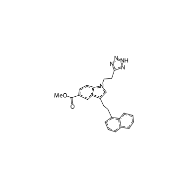 COC(=O)c1ccc2c(c1)c(CCc1cccc3ccccc13)cn2CCc1nn[nH]n1